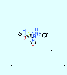 Cc1cccc(/C=N/Nc2nc(N3CCOCC3)c3cc(C(=O)NC4CCC4)sc3n2)c1